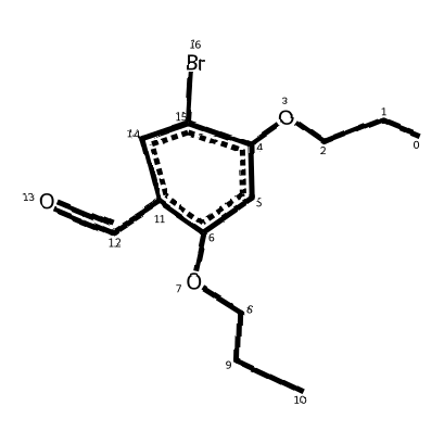 CCCOc1cc(OCCC)c(C=O)cc1Br